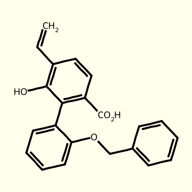 C=Cc1ccc(C(=O)O)c(-c2ccccc2OCc2ccccc2)c1O